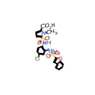 Cn1c(C(=O)O)ccc1S(=O)(=O)Nc1ccc(Cl)cc1NS(=O)(=O)c1cc2ccccc2o1